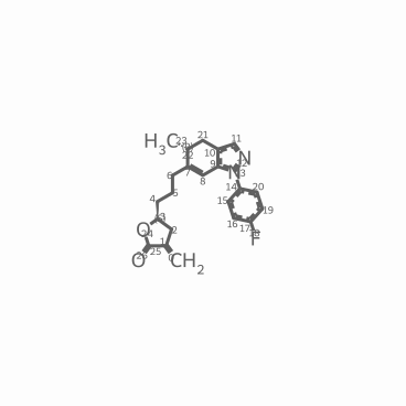 C=C1C[C@H](CCCC2=Cc3c(cnn3-c3ccc(F)cc3)C[C@H]2C)OC1=O